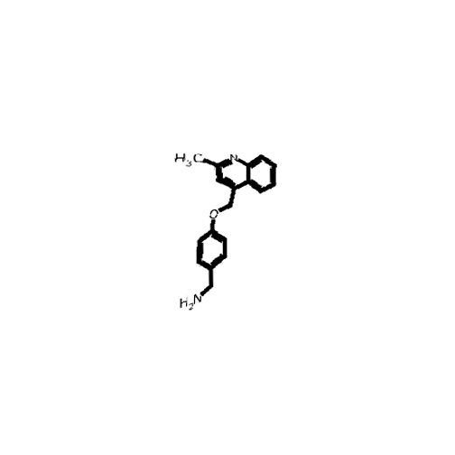 Cc1cc(COc2ccc(CN)cc2)c2ccccc2n1